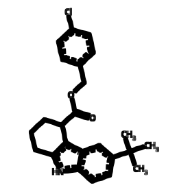 CC(C)(C)c1ccc2[nH]c3c(c2c1)C(C(=O)OCc1ccc(Cl)cc1)CCC3